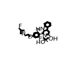 C[C@@H]1CC2c3ccccc3NC2[C@@H](c2c(F)cc(OCCN3CC(CF)C3)cc2F)N1C[C@@](C)(O)CO